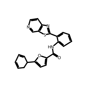 O=C(Nc1ccccc1-c1nc2ccncc2s1)c1ccc(C2C=CC=CC2)o1